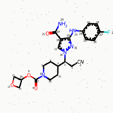 N#CC[C@@H](C1CCN(C(=O)OC2COC2)CC1)n1cc(C(N)=O)c(Nc2ccc(F)cc2)n1